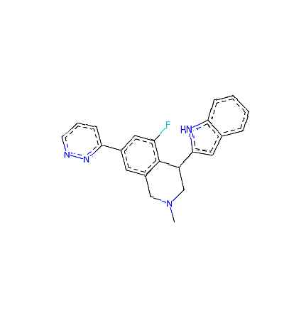 CN1Cc2cc(-c3cccnn3)cc(F)c2C(c2cc3ccccc3[nH]2)C1